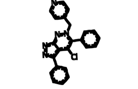 Clc1c2c(-c3ccccc3)nnc-2nn(Cc2ccncc2)c1-c1ccccc1